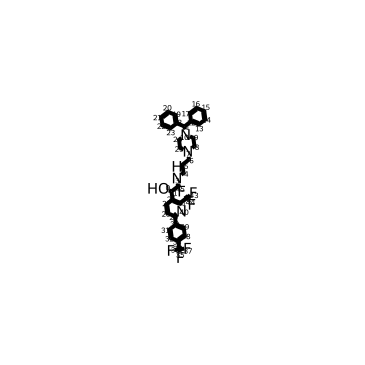 OC(CNCCCN1CCN(C(c2ccccc2)c2ccccc2)CC1)c1ccc(-c2ccc(C(F)(F)F)cc2)nc1C(F)(F)F